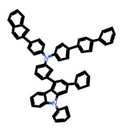 c1ccc(-c2ccc(-c3ccc(N(c4ccc(-c5ccc6ccccc6c5)cc4)c4cccc(-c5cc(-c6ccccc6)cc6c5c5ccccc5n6-c5ccccc5)c4)cc3)cc2)cc1